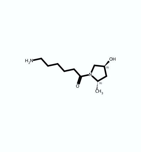 C[C@H]1C[C@H](O)CN1C(=O)CCCCCN